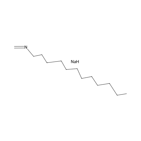 C=NCCCCCCCCCCCC.[NaH]